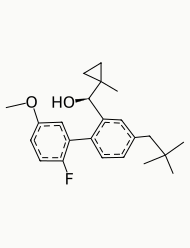 COc1ccc(F)c(-c2ccc(CC(C)(C)C)cc2[C@@H](O)C2(C)CC2)c1